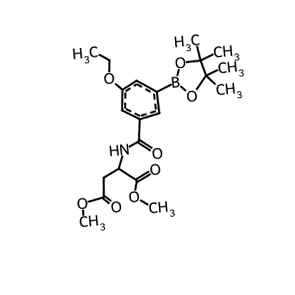 CCOc1cc(B2OC(C)(C)C(C)(C)O2)cc(C(=O)NC(CC(=O)OC)C(=O)OC)c1